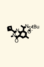 C/C(=N/[S@+]([O-])C(C)(C)C)c1cc(C)cc2c(=O)n(C)c(C34CC(C3)C4)nc12